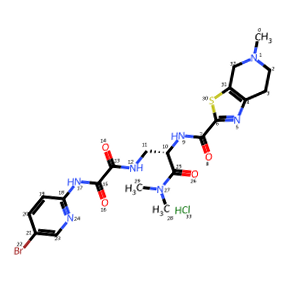 CN1CCc2nc(C(=O)N[C@@H](CNC(=O)C(=O)Nc3ccc(Br)cn3)C(=O)N(C)C)sc2C1.Cl